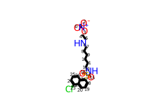 O=[N+]([O-])OCCNCCCCCCNS(=O)(=O)c1cccc2c(Cl)cccc12